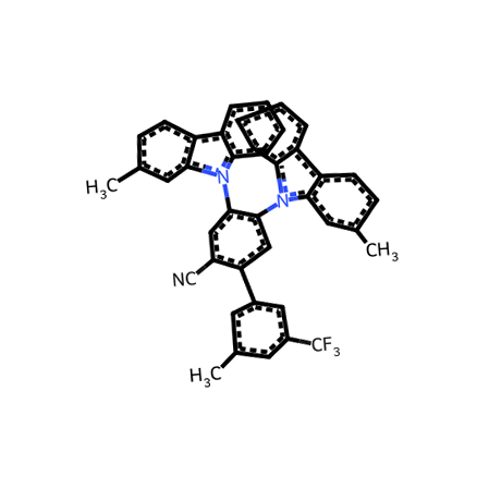 Cc1cc(-c2cc(-n3c4ccccc4c4ccc(C)cc43)c(-n3c4ccccc4c4ccc(C)cc43)cc2C#N)cc(C(F)(F)F)c1